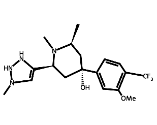 COc1cc([C@]2(O)C[C@H](C)N(C)[C@H](C3=CN(C)NN3)C2)ccc1C(F)(F)F